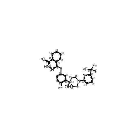 O=c1[nH]nc(Cc2ccc(F)c([P]3(O)CCN(c4cccc(C(F)(F)F)n4)CC3)c2)c2ccccc12